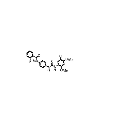 COc1cc(OC)c(NC(=S)Nc2ccc(NC(=O)c3ccccc3F)cc2)cc1Cl